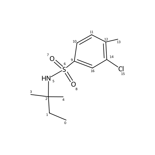 CCC(C)(C)NS(=O)(=O)c1ccc(C)c(Cl)c1